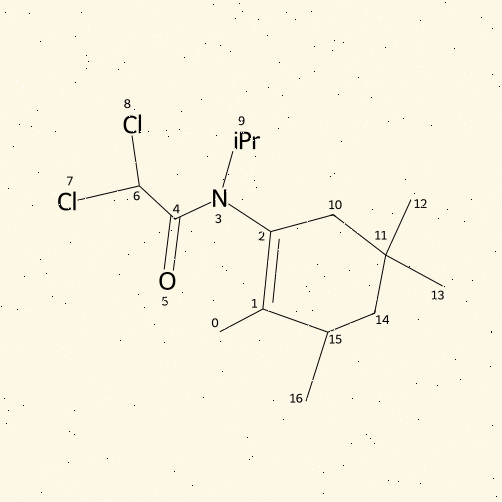 CC1=C(N(C(=O)C(Cl)Cl)C(C)C)CC(C)(C)CC1C